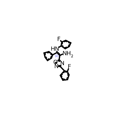 N/C(=C(\Nc1ccccc1F)c1ccccc1)c1nc(-c2ccccc2F)no1